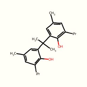 Cc1cc(C(C)C)c(O)c(C(C)(C)c2cc(C)cc(C(C)C)c2O)c1